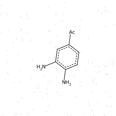 CC(=O)c1ccc(N)c(N)c1